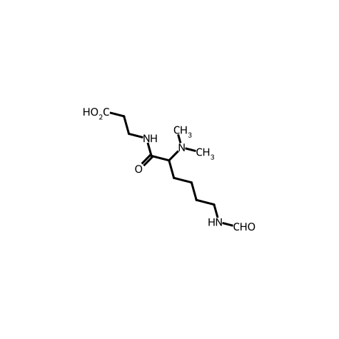 CN(C)C(CCCCNC=O)C(=O)NCCC(=O)O